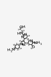 COc1cc(-c2nn(-c3ccc(N)cc3)cc2-c2ccnc(NCCO)n2)cnc1N